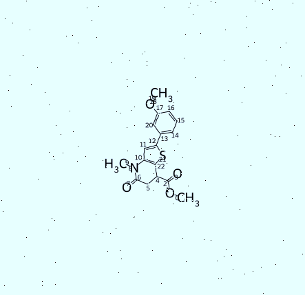 COC(=O)C1CC(=O)N(C)c2cc(-c3cccc(OC)c3)sc21